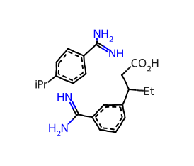 CC(C)c1ccc(C(=N)N)cc1.CCC(CC(=O)O)c1cccc(C(=N)N)c1